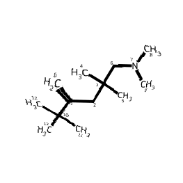 C=C(CC(C)(C)CN(C)C)C(C)(C)C